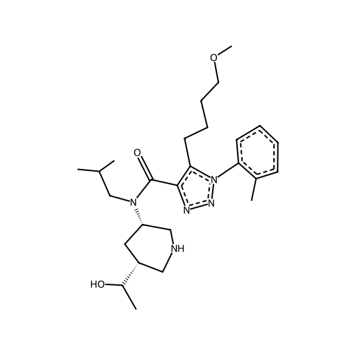 COCCCCc1c(C(=O)N(CC(C)C)[C@@H]2CNC[C@H](C(C)O)C2)nnn1-c1ccccc1C